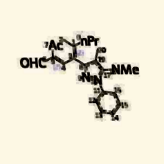 CCC/C(C)=C(/C=C(/C=O)C(C)=O)c1nn(-c2ccccc2)c(NC)c1C